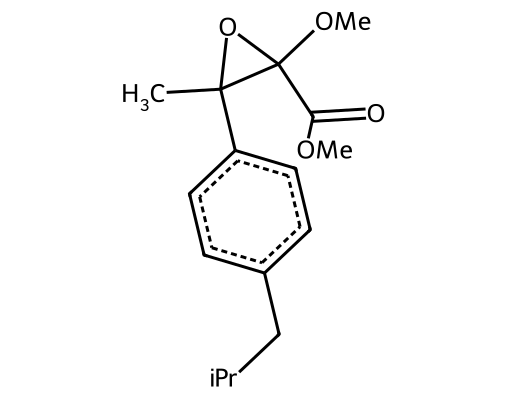 COC(=O)C1(OC)OC1(C)c1ccc(CC(C)C)cc1